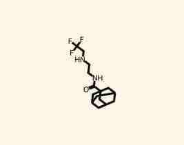 O=C(NCCNCC(F)(F)F)C12CC3CC(CC(C3)C1)C2